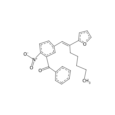 CCCCC/C(=C\c1ccc([N+](=O)[O-])c(C(=O)c2ccccc2)c1)c1ccco1